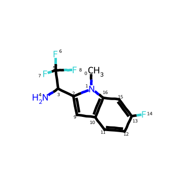 Cn1c(C(N)C(F)(F)F)cc2ccc(F)cc21